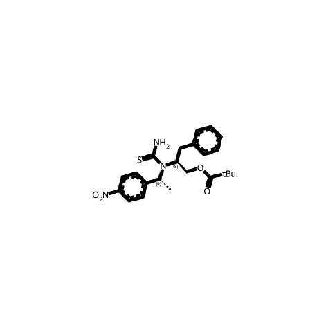 C[C@H](c1ccc([N+](=O)[O-])cc1)N(C(N)=S)[C@H](COC(=O)C(C)(C)C)Cc1ccccc1